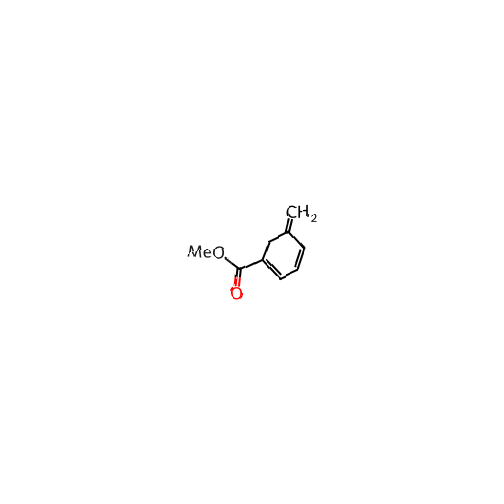 C=C1C=CC=C(C(=O)OC)C1